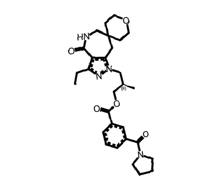 CCc1nn(C[C@@H](C)COC(=O)c2cccc(C(=O)N3CCCC3)c2)c2c1C(=O)NCC1(CCOCC1)C2